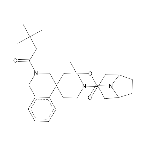 CCOC(=O)N1C2CCC1CC(N1CCC3(CC1)CN(C(=O)CC(C)(C)C)Cc1ccccc13)C2